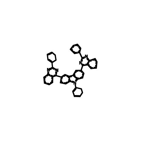 C1=CCCC(c2nc(-c3ccc4c(c3)c3cc(-c5nc(-c6ccccc6)nc6ccccc56)ccc3n4C3=CC=CCC3)c3ccccc3n2)=C1